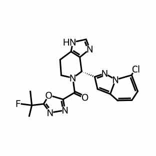 CC(C)(F)c1nnc(C(=O)N2CCc3[nH]cnc3[C@@H]2c2cc3cccc(Cl)n3n2)o1